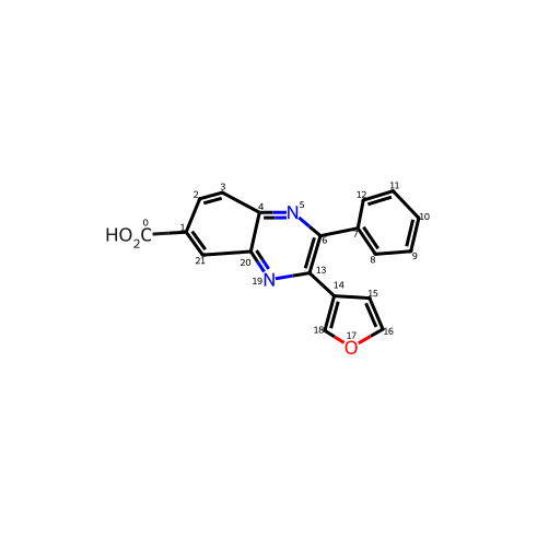 O=C(O)c1ccc2nc(-c3ccccc3)c(-c3ccoc3)nc2c1